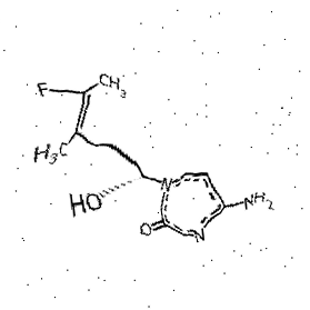 C/C(F)=C(/C)C[C@@H](O)n1ccc(N)nc1=O